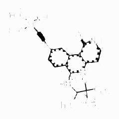 CC(Nc1nc2cc[nH]c(=O)c2c2cc(C#C[Si](C)(C)C)ccc12)C(C)(C)C